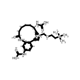 C[Si](C)(C)CCOCn1cc2nc1[C@@H](NC(=O)O)CCCCC(=O)Nc1cc(NC(=O)O)ccc1-2